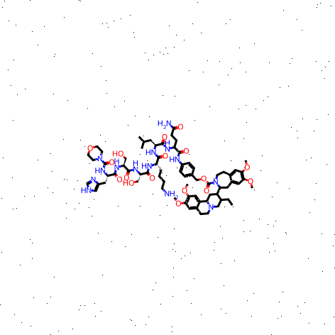 CCC1CN2CCc3cc(OC)c(OC)cc3C2CC1C1Cc2cc(OC)c(OC)cc2CCN1C(=O)OCc1ccc(NC(=O)C(CCC(N)=O)NC(=O)[C@H](CC(C)C)NC(=O)[C@H](CCCCN)NC(=O)[C@H](CO)NC(=O)[C@H](CO)NC(=O)[C@H](Cc2c[nH]cn2)NC(=O)N2CCOCC2)cc1